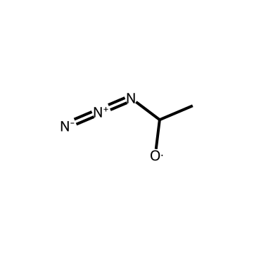 CC([O])N=[N+]=[N-]